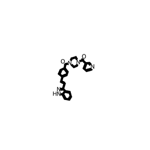 O=C(c1ccc(/C=C/c2n[nH]c3ccccc23)cc1)N1CCN(C(=O)c2cccnc2)CC1